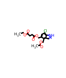 CCOC(=O)CCC(=O)OCc1cc(Cl)c2[nH]ncc2c1COC(C)=O